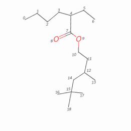 CCCCC(CC)C(=O)OCCC(C)CC(C)(C)C